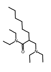 CCCCCCC(CN(CC)CC)C(=O)N(CC)CC